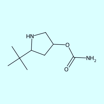 CC(C)(C)C1CC(OC(N)=O)CN1